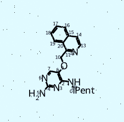 CCC[C@@H](C)Nc1nc(N)ncc1OCc1nccc2ccccc12